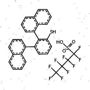 O=S(=O)(O)C(F)(F)C(F)(F)C(F)(F)C(F)(F)F.Sc1cccc(-c2cccc3ccccc23)c1-c1cccc2ccccc12